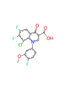 COc1cc(-n2cc(C(=O)O)c(=O)c3cc(F)c(F)c(Cl)c32)ccc1F